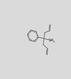 C=CCC([SiH3])(CC=C)c1ccccc1